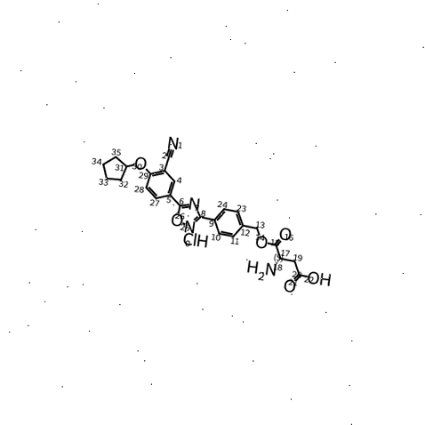 Cl.N#Cc1cc(-c2nc(-c3ccc(COC(=O)[C@@H](N)CC(=O)O)cc3)no2)ccc1OC1CCCC1